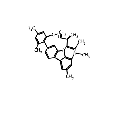 C=CC(=C)C1=C(C)N(C)c2cc(C)cc3c2B1c1cc(-c2c(C)cc(C)cc2C)ccc1-3